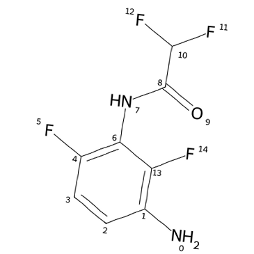 Nc1ccc(F)c(NC(=O)C(F)F)c1F